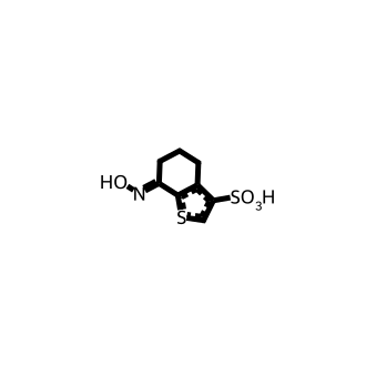 O=S(=O)(O)c1csc2c1CCCC2=NO